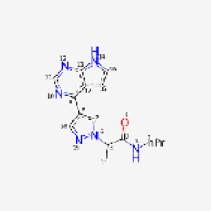 CCCNC(=O)C(C)n1cc(-c2ncnc3[nH]ccc23)cn1